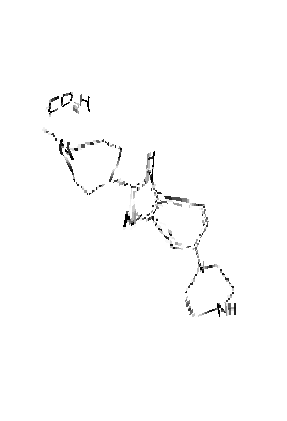 O=C(O)CN1CCC(c2nc3cc(N4CCNCC4)ccc3[nH]2)CC1